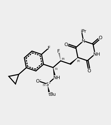 CC(C)N1C(=O)NC(=O)[C@@H](C[C@@H](F)[C@@H](N[S@+]([O-])C(C)(C)C)c2cc(C3CC3)ccc2F)C1=O